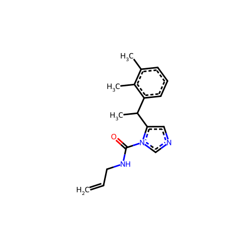 C=CCNC(=O)n1cncc1C(C)c1cccc(C)c1C